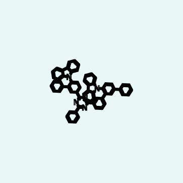 C1=C(c2ccccc2)C(n2c3ccccc3c3ccccc32)=CCC1c1nc(-c2ccccc2)nc(-c2cccc(-c3cc(-c4ccccc4)ccc3-n3c4ccccc4c4ccccc43)c2)n1